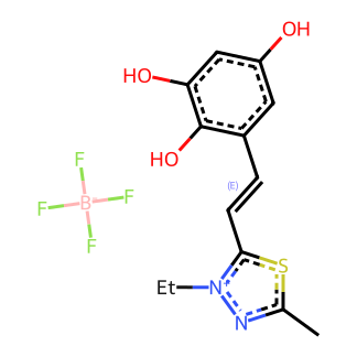 CC[n+]1nc(C)sc1/C=C/c1cc(O)cc(O)c1O.F[B-](F)(F)F